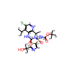 CC(C)c1ncc(F)c(C(C)C)c1NC(=O)N=S(=O)(NC(=O)OC(C)(C)C)c1cnc(C(C)(C)O)s1